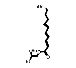 CCCCCCCCCCCCCC=CC=CC=CC(=O)OCC(CC)CCCC